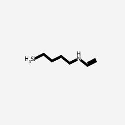 C=CNCCCC[SiH3]